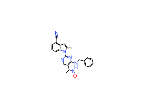 Cc1cc2c(C#N)cccc2n1-c1ncc(C(C)N=O)c(NCc2ccccc2)n1